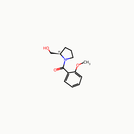 COc1ccccc1C(=O)N1CCC[C@@H]1CO